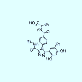 CCNC(=O)c1nnc(-c2cc(C(C)C)c(O)cc2O)n1-c1ccc(C(=O)N[C@H](C(=O)O)C(C)C)cc1